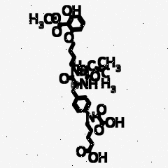 COC(=O)c1c(O)cccc1OCCCCNC(=O)[C@H](Cc1ccc(N(CCCCC(=O)O)C(=O)C(=O)O)cc1)NC(=O)OC(C)(C)C